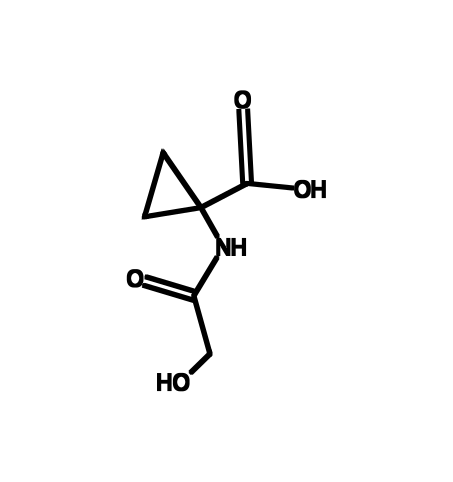 O=C(CO)NC1(C(=O)O)CC1